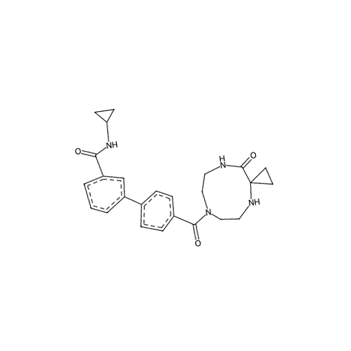 O=C(NC1CC1)c1cccc(-c2ccc(C(=O)N3CCNC(=O)C4(CC4)NCC3)cc2)c1